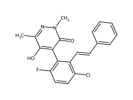 Cc1nn(C)c(=O)c(-c2c(F)ccc(Cl)c2/C=C/c2ccccc2)c1O